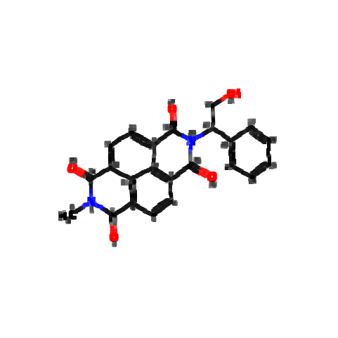 CN1C(=O)c2ccc3c4c(ccc(c24)C1=O)C(=O)N(C(CO)c1ccccc1)C3=O